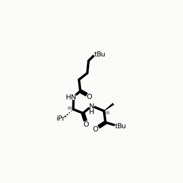 CC(C)[C@H](NC(=O)CCCC(C)(C)C)C(=O)N[C@@H](C)C(=O)C(C)(C)C